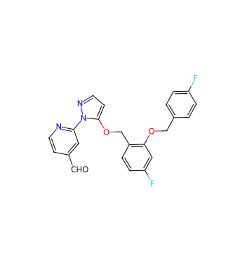 O=Cc1ccnc(-n2nccc2OCc2ccc(F)cc2OCc2ccc(F)cc2)c1